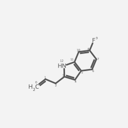 C=CCc1cc2ccc(F)cc2[nH]1